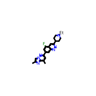 CCN1CCC(c2cc3c(F)cc(-c4cc(C)c5nc(C)cn5n4)cc3nn2)CC1